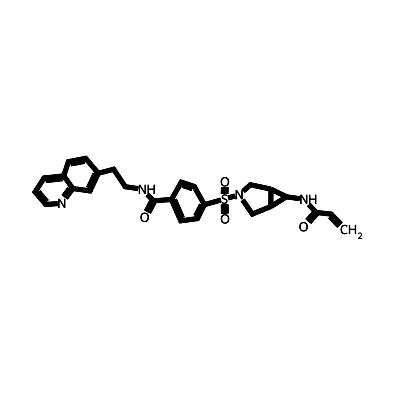 C=CC(=O)NC1C2CN(S(=O)(=O)c3ccc(C(=O)NCCc4ccc5cccnc5c4)cc3)CC21